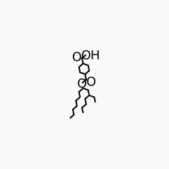 CCCCCCCC(CC(CC)CCCC)OC(=O)C1CCC(C(=O)O)CC1